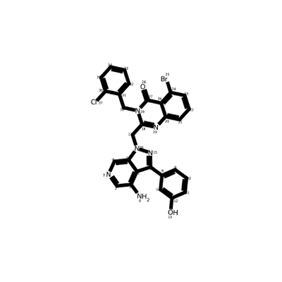 Nc1cncc2c1c(-c1cccc(O)c1)nn2Cc1nc2cccc(Br)c2c(=O)n1Cc1ccccc1Cl